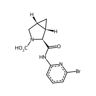 O=C(Nc1cccc(Br)n1)[C@@H]1[C@H]2C[C@H]2CN1C(=O)O